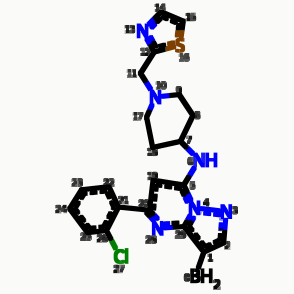 Bc1cnn2c(NC3CCN(Cc4nccs4)CC3)cc(-c3ccccc3Cl)nc12